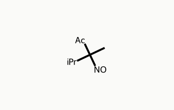 CC(=O)C(C)(N=O)C(C)C